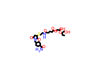 CCC(CO)OC(O)COC(=O)CCCC(=O)NCCSC1CC(=O)N(CC2CCC(C(N)=O)CC2)C1=O